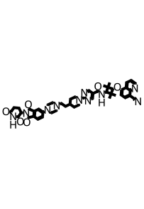 CC1(C)C(NC(=O)c2cnc(N3CCC(CCN4CCN(c5ccc6c(c5)C(=O)N(C5CCC(=O)NC5=O)C6=O)CC4)CC3)nc2)C(C)(C)C1Oc1ccc(C#N)c2ncccc12